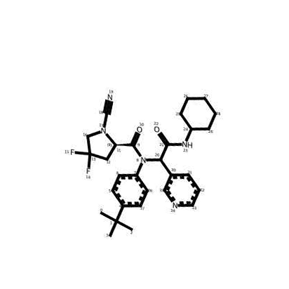 CC(C)(C)c1ccc(N(C(=O)[C@H]2CC(F)(F)CN2C#N)C(C(=O)NC2CCCCC2)c2cccnc2)cc1